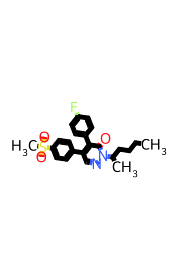 CCCCC(C)n1ncc(-c2ccc(S(C)(=O)=O)cc2)c(-c2ccc(F)cc2)c1=O